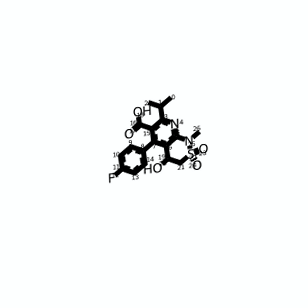 CC(C)c1nc2c(c(-c3ccc(F)cc3)c1C(=O)O)C(O)CS(=O)(=O)N2C